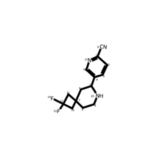 N#Cc1ccc(C2CC3(CCN2)CC(F)(F)C3)cn1